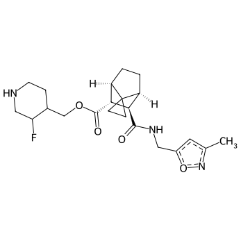 Cc1cc(CNC(=O)[C@H]2[C@H](C(=O)OCC3CCNCC3F)[C@H]3CC[C@@H]2C32CC2)on1